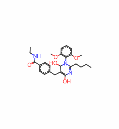 CCCCC1=NC(O)=C(Cc2ccc(C(=O)NCC)cc2)C(O)N1c1c(OC)cccc1OC